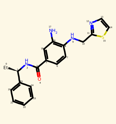 CC[C@@H](NC(=O)c1ccc(NCc2nccs2)c(N)c1)c1ccccc1